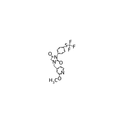 COc1cc(CN2CC(=O)N(c3ccc(SC(F)(F)F)cc3)C2=O)ccn1